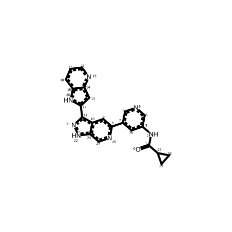 O=C(Nc1cncc(-c2cc3c(-c4cc5ncccc5[nH]4)n[nH]c3cn2)c1)C1CC1